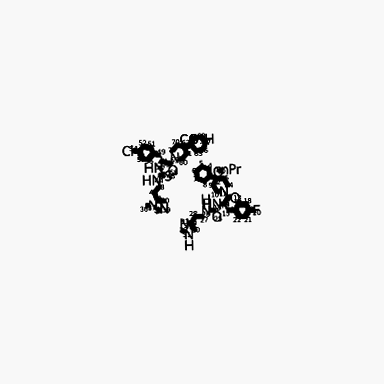 CCCOC1(C2CCCCC2)CCN(C(=O)[C@@H](Cc2ccc(F)cc2)NC(=O)NCCc2c[nH]cn2)CC1.Cn1cncc1CCNC(=S)N[C@H](Cc1ccc(Cl)cc1)C(=O)N1CCC(C(=O)O)(C2CCCCC2)CC1